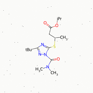 CC(C)OC(=O)CC(C)Sc1nc(C(C)(C)C)nn1C(=O)N(C)C